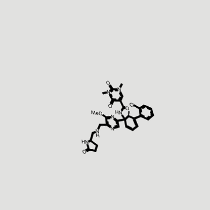 COc1nc(C2(NC(=O)c3cn(C)c(=O)n(C)c3=O)C=CC=C(c3ccccc3Cl)[C@@H]2C)cnc1CNCC1CCC(=O)N1